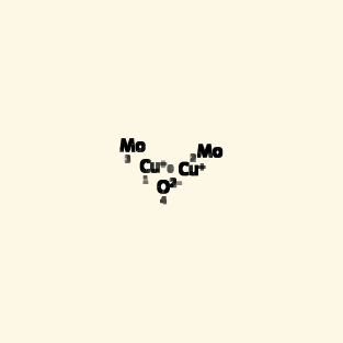 [Cu+].[Cu+].[Mo].[Mo].[O-2]